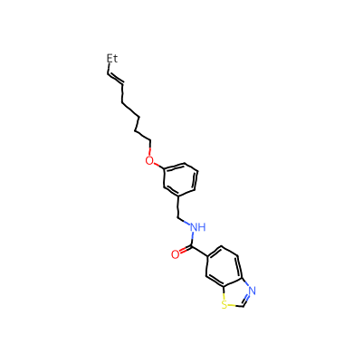 CCC=CCCCCOc1cccc(CNC(=O)c2ccc3ncsc3c2)c1